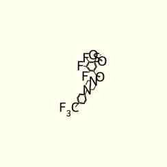 CS(=O)(=O)c1cc(C(=O)N2CCN(c3ccc(C(F)(F)F)cc3)CC2)c(F)c(F)c1F